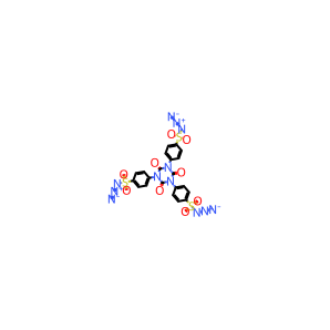 [N-]=[N+]=NS(=O)(=O)c1ccc(-n2c(=O)n(-c3ccc(S(=O)(=O)N=[N+]=[N-])cc3)c(=O)n(-c3ccc(S(=O)(=O)N=[N+]=[N-])cc3)c2=O)cc1